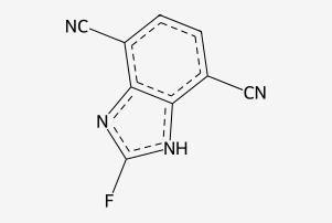 N#Cc1ccc(C#N)c2[nH]c(F)nc12